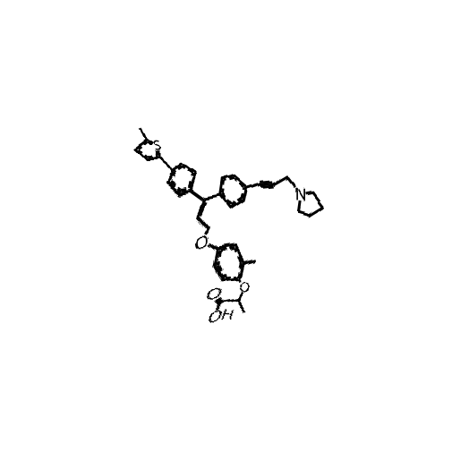 Cc1ccc(-c2ccc(/C(=C/COc3ccc(OC(C)C(=O)O)c(C)c3)c3ccc(C#CCN4CCCC4)cc3)cc2)s1